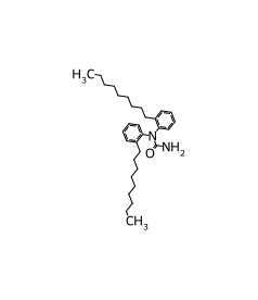 CCCCCCCCCc1ccccc1N(C(N)=O)c1ccccc1CCCCCCCCC